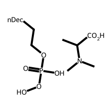 CC(C(=O)O)N(C)C.CCCCCCCCCCCCOP(=O)(O)OO